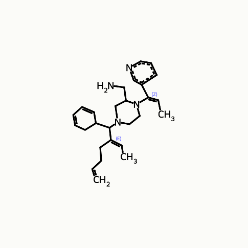 C=CCC/C(=C\C)C(C1C=CC=CC1)N1CCN(/C(=C\C)c2cccnc2)C(CN)C1